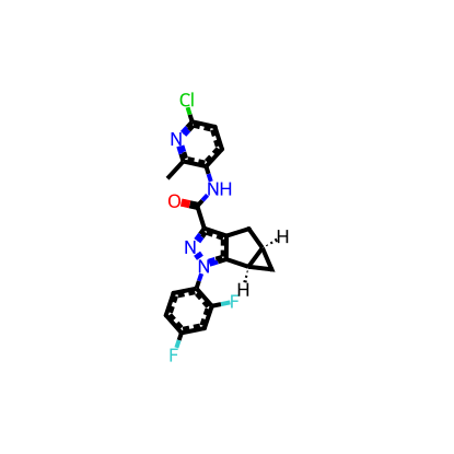 Cc1nc(Cl)ccc1NC(=O)c1nn(-c2ccc(F)cc2F)c2c1C[C@H]1C[C@@H]21